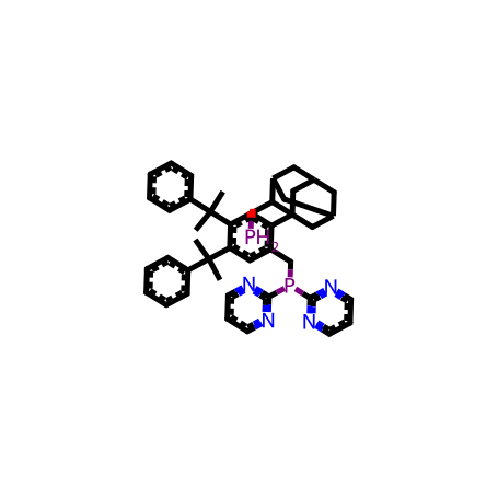 CC(C)(c1ccccc1)c1cc(CP(c2ncccn2)c2ncccn2)c(C23CC4CC(CC(C4)C2CP)C3)cc1C(C)(C)c1ccccc1